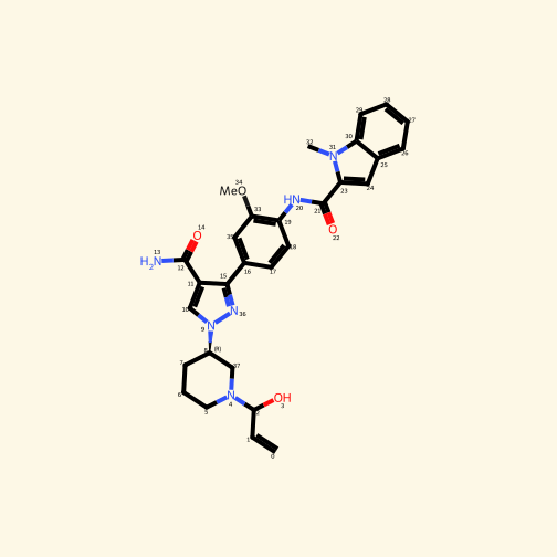 C=CC(O)N1CCC[C@@H](n2cc(C(N)=O)c(-c3ccc(NC(=O)c4cc5ccccc5n4C)c(OC)c3)n2)C1